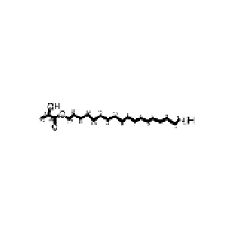 CCCCCCCCCCCCCCCCCCOC(=O)C(C)O.[LiH]